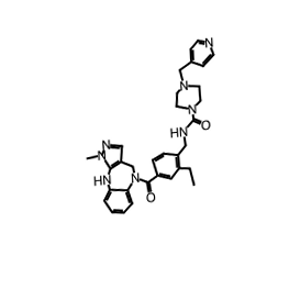 CCc1cc(C(=O)N2Cc3cnn(C)c3Nc3ccccc32)ccc1CNC(=O)N1CCN(Cc2ccncc2)CC1